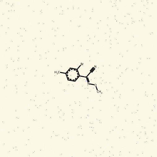 CO/N=C(\C#N)c1ccc(C)cc1Br